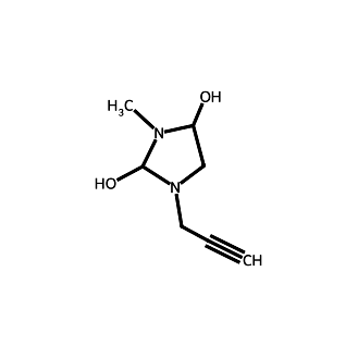 C#CCN1CC(O)N(C)C1O